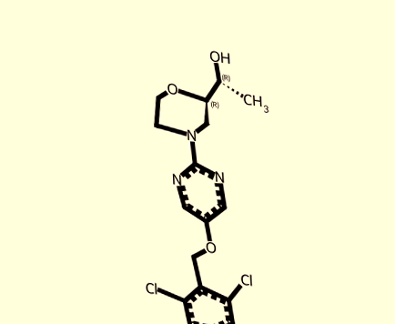 C[C@@H](O)[C@H]1CN(c2ncc(OCc3c(Cl)cccc3Cl)cn2)CCO1